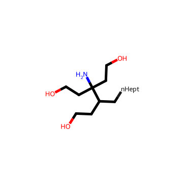 CCCCCCCCC(CCO)C(N)(CCO)CCO